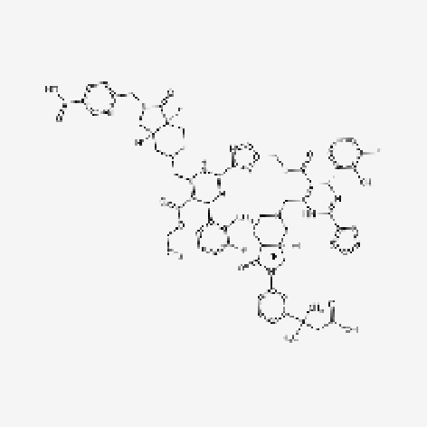 CCOC(=O)C1=C(CN2CC[C@]3(F)C(=O)N(Cc4ccc(C(=O)O)cn4)C[C@@H]3C2)NC(c2ncc(COC(=O)C3=C(CN4CC[C@]5(F)C(=O)N(c6cccc(C(C)(C)CC(=O)O)c6)C[C@@H]5C4)NC(c4nccs4)=N[C@H]3c3cccc(F)c3C)s2)=N[C@H]1c1cccc(F)c1C